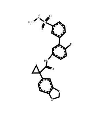 CNS(=O)(=O)c1cccc(-c2cc(NC(=O)C3(c4ccc5c(c4)OCO5)CC3)ccc2F)c1